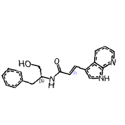 O=C(/C=C/c1c[nH]c2ncccc12)N[C@H](CO)Cc1ccccc1